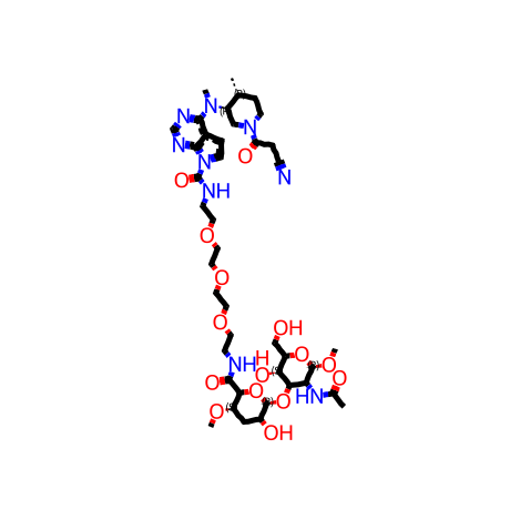 CO[C@@H]1OC(CO)[C@@H](O)C(O[C@@H]2OC(C(=O)NCCOCCOCCOCCNC(=O)n3ccc4c(N(C)[C@H]5CN(C(=O)CC#N)CC[C@H]5C)ncnc43)[C@@H](OC)CC2O)C1NC(C)=O